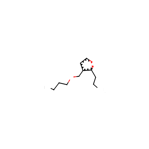 [CH2]CCc1occc1COCCCC